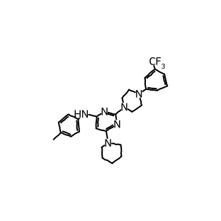 Cc1ccc(Nc2cc(N3CCCCC3)nc(N3CCN(c4cccc(C(F)(F)F)c4)CC3)n2)cc1